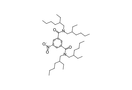 CCCCC(CC)CN(CC(CC)CCCC)C(=O)c1cc(C(=O)N(CC(CC)CCCC)CC(CC)CCCC)cc([N+](=O)[O-])c1